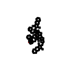 O=C1C(=CC2=Cc3sc4c(c3C2(C(=O)OCc2ccccc2)C(=O)OCc2ccccc2)C(C(=O)OCc2ccccc2)(C(=O)OCc2ccccc2)c2c-4sc3cc(C=C4C(=O)c5cc6ccccc6cc5C4=O)sc23)C(=O)c2cc3ccccc3cc21